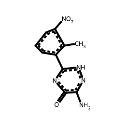 Cc1c(-c2nc(=O)c(N)n[nH]2)cccc1[N+](=O)[O-]